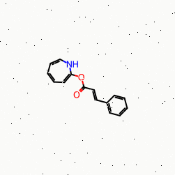 O=C(/C=C/c1ccccc1)OC1=CC=CC=CN1